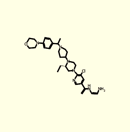 C=C(N/C=C\N)c1cnc(N2CCN(C3CCN(C(C)c4ccc(N5CCOCC5)cc4)CC3)[C@@H](CC)C2)c(Cl)c1